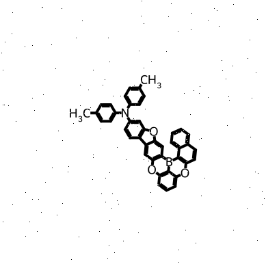 Cc1ccc(N(c2ccc(C)cc2)c2ccc3c(c2)oc2cc4c(cc23)Oc2cccc3c2B4c2c(ccc4ccccc24)O3)cc1